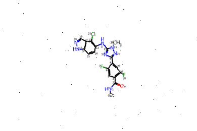 CCNC(=O)c1cc(F)c(-c2nc(Nc3ccc4[nH]ncc4c3Cl)n(C)n2)cc1F